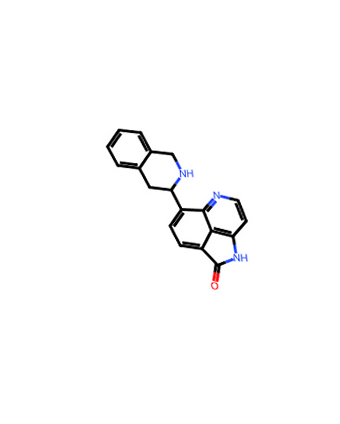 O=C1Nc2ccnc3c(C4Cc5ccccc5CN4)ccc1c23